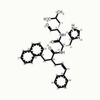 CC(C)C[C@@H](C=O)NC(=O)[C@H](Cc1c[nH]cn1)NC(=O)C(C/C=C\c1ccccc1)Cc1cccc2ccccc12